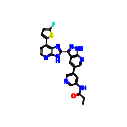 CCC(=O)Nc1cncc(-c2cnc3[nH]nc(-c4nc5c(-c6ccc(F)s6)ccnc5[nH]4)c3c2)c1